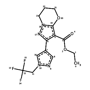 CCOC(=O)c1c(-c2cnn(CC(F)(F)F)c2)nn2c1OCCC2